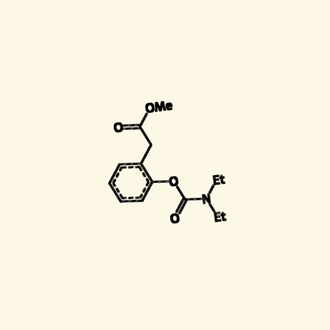 CCN(CC)C(=O)Oc1ccccc1CC(=O)OC